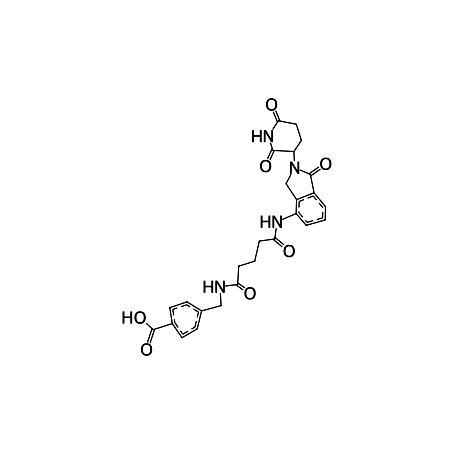 O=C(CCCC(=O)Nc1cccc2c1CN(C1CCC(=O)NC1=O)C2=O)NCc1ccc(C(=O)O)cc1